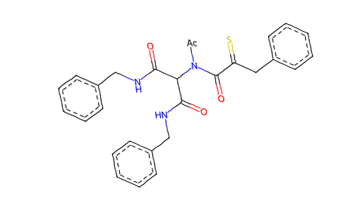 CC(=O)N(C(=O)C(=S)Cc1ccccc1)C(C(=O)NCc1ccccc1)C(=O)NCc1ccccc1